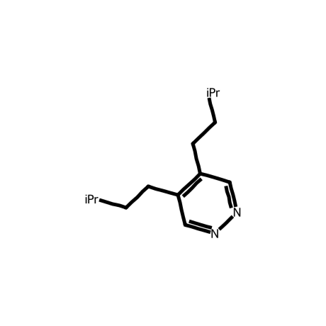 CC(C)CCc1cnncc1CCC(C)C